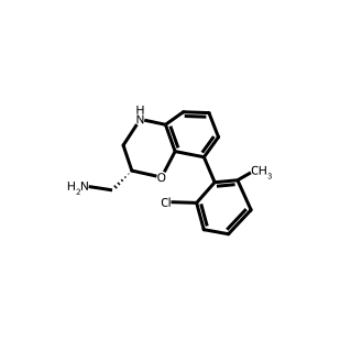 Cc1cccc(Cl)c1-c1cccc2c1O[C@H](CN)CN2